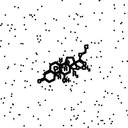 COC1(C(=O)OCCl)CC[C@H]2[C@@H]3CCC4=CC(=O)CC[C@]4(C)[C@@H]3C(O)C[C@@]21C